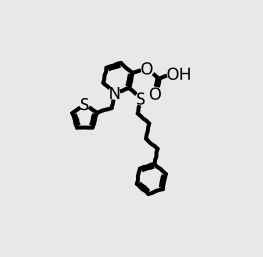 O=C(O)OC1=C(SCCCCc2ccccc2)N(Cc2cccs2)CC=C1